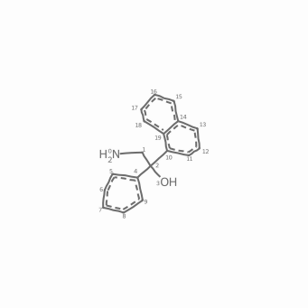 NCC(O)(c1ccccc1)c1cccc2ccccc12